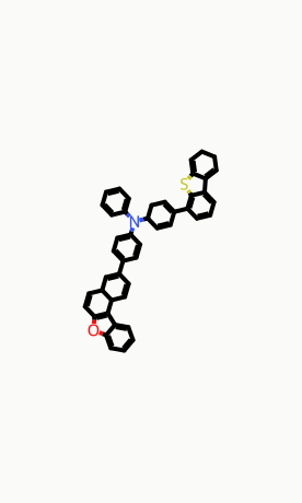 C1=CC2c3c(oc4ccccc34)C=CC2C=C1c1ccc(N(c2ccccc2)C2C=CC(c3cccc4c5c(sc34)=CCCC=5)=CC2)cc1